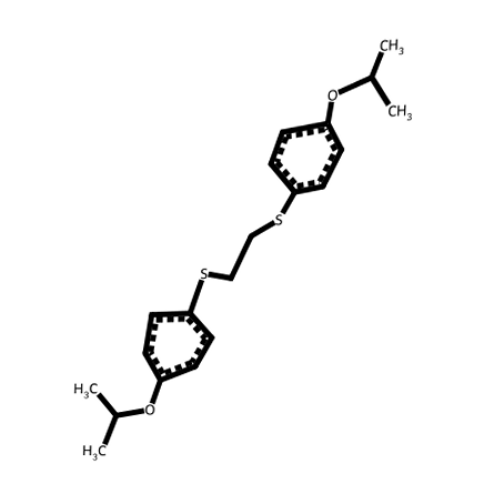 CC(C)Oc1ccc(SCCSc2ccc(OC(C)C)cc2)cc1